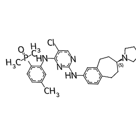 Cc1ccc(P(C)(C)=O)c(Nc2nc(Nc3ccc4c(c3)CC[C@@H](N3CCCC3)CC4)ncc2Cl)c1